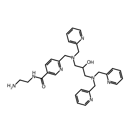 NCCNC(=O)c1ccc(CN(Cc2ccccn2)CC(O)CN(Cc2ccccn2)Cc2ccccn2)nc1